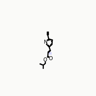 C#Cc1ccc(/C=C/C(=O)OCC(C)C)cn1